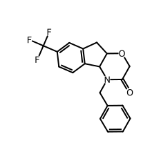 O=C1COC2Cc3cc(C(F)(F)F)ccc3C2N1Cc1ccccc1